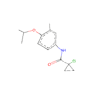 Cc1cc(NC(=O)C2(Cl)CC2)ccc1OC(C)C